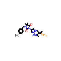 CC(=N)/C(Cn1cc(N2C(=O)N(Cc3ccc(C#N)cc3)C(C)(C)C2=O)cn1)=C(/C)P